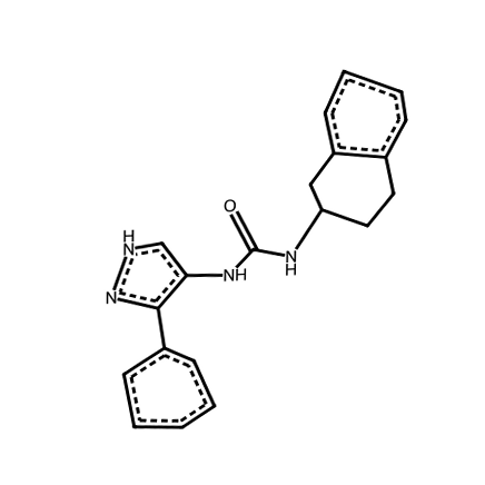 O=C(Nc1c[nH]nc1-c1ccccc1)NC1CCc2ccccc2C1